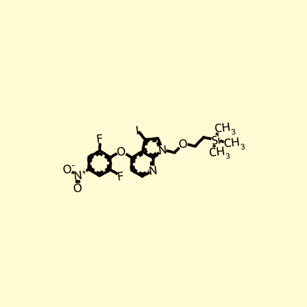 C[Si](C)(C)CCOCn1cc(I)c2c(Oc3c(F)cc([N+](=O)[O-])cc3F)ccnc21